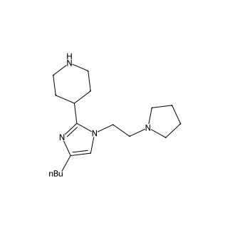 CCCCc1cn(CCN2CCCC2)c(C2CCNCC2)n1